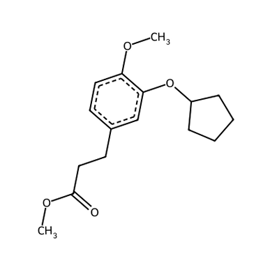 COC(=O)CCc1ccc(OC)c(OC2CCCC2)c1